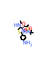 C=C(C[C@H]1N=C(c2ccc(N)cc2)SCC1NC(C)=O)S(=O)(=O)NC(C)(C)C